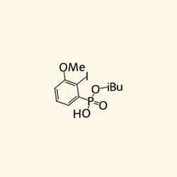 CCC(C)OP(=O)(O)c1cccc(OC)c1I